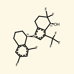 O[C@H]1c2c(C(F)(F)F)cn([C@@H]3CCCc4cc(F)cc(F)c43)c2CCC1(F)F